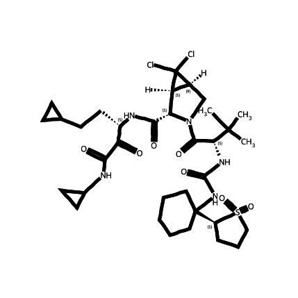 CC(C)(C)[C@H](NC(=O)NC1([C@@H]2CCCS2(=O)=O)CCCCC1)C(=O)N1C[C@H]2[C@@H]([C@H]1C(=O)N[C@@H](CCC1CC1)C(=O)C(=O)NC1CC1)C2(Cl)Cl